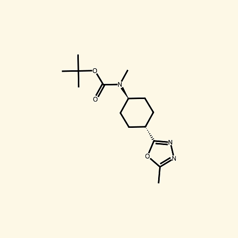 Cc1nnc([C@H]2CC[C@H](N(C)C(=O)OC(C)(C)C)CC2)o1